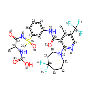 Cc1c(C(F)(F)F)cnc(N2CCCC(F)(F)CC2)c1C(=O)Nc1cccc(S(C)(=O)=NC(=O)C(C)NC(=O)O)c1